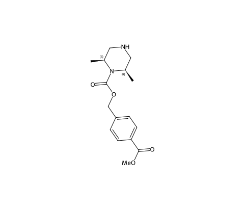 COC(=O)c1ccc(COC(=O)N2[C@H](C)CNC[C@@H]2C)cc1